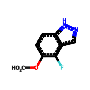 O=C(O)Oc1ccc2[nH]ncc2c1F